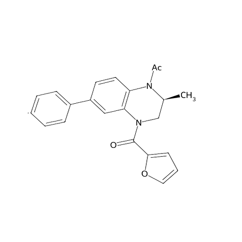 CC(=O)N1c2ccc(-c3cc[c]cc3)cc2N(C(=O)c2ccco2)C[C@@H]1C